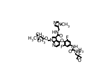 Cn1cncc1CNC(=O)c1cn(COCC[Si](C)(C)C)c2nccc(Oc3c(F)cc(NC(=O)NCC4(C)COC4)cc3F)c12